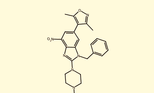 Cc1noc(C)c1-c1cc([N+](=O)[O-])c2nc(N3CCN(C)CC3)n(Cc3ccccc3)c2c1